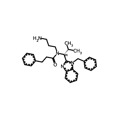 CC(C)[C@H](c1nc2ccccc2n1Cc1ccccc1)N(CCCN)C(=O)CCc1ccccc1